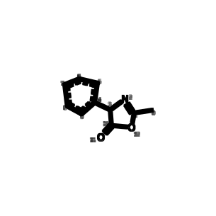 CC1=NC(c2ccccc2)C(=O)O1